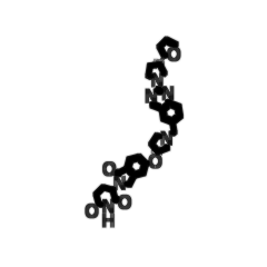 O=C1CCC(N2Cc3cc(O[C@H]4CCN(Cc5ccc6nc(N7CC[C@H](C8CC=CO8)C7)ncc6c5)C4)ccc3C2=O)C(=O)N1